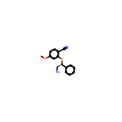 COc1ccc(C#N)c(S[C@H](CN)c2ccccc2)c1